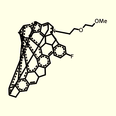 COCCOCCN1CC2C3=c4c5c6c7c8c9c(cc%10c%11c%12c%13c%14c(cc%15c%16c(c4c6c(c%16%14)c%13c7c%119)=C(C3)C%15)=CC%12C%10)=CC3CC2(C=5C83)C1c1cccc(F)c1